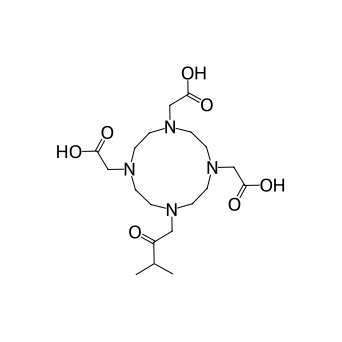 CC(C)C(=O)CN1CCN(CC(=O)O)CCN(CC(=O)O)CCN(CC(=O)O)CC1